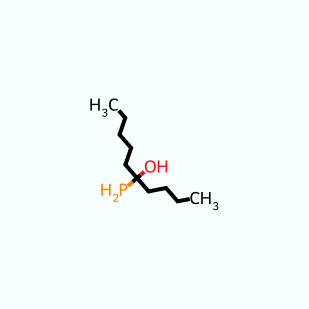 CCCCCC(O)(P)CCCC